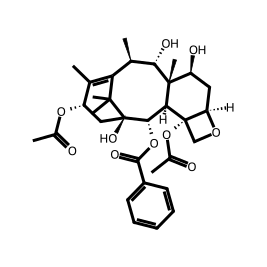 CC(=O)O[C@H]1C[C@@]2(O)[C@@H](OC(=O)c3ccccc3)[C@@H]3[C@]4(OC(C)=O)CO[C@@H]4C[C@H](O)[C@@]3(C)[C@@H](O)[C@H](C)C(=C1C)C2(C)C